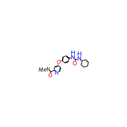 CNC(=O)c1cc(Oc2ccc(NC(=O)NC3CCCCC3)cc2)ccn1